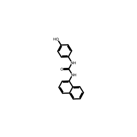 O=C(Nc1ccc(O)cc1)Nc1cccc2ccccc12